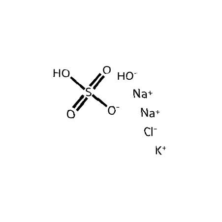 O=S(=O)([O-])O.[Cl-].[K+].[Na+].[Na+].[OH-]